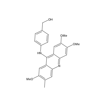 COc1cc2c(Nc3ccc(CO)cc3)c3cc(OC)c(OC)cc3nc2cc1C